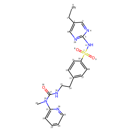 CC(C)Cc1cnc(NS(=O)(=O)c2ccc(CCNC(=O)N(C)c3ccccn3)cc2)nc1